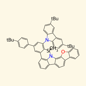 CC(C)(C)c1ccc(-c2cc3c4c(c2)-n2c5ccc(C(C)(C)C)cc5c5cc(C(C)(C)C)cc(c52)[Si]4(C)n2c4c-3cccc4c3ccc4c5ccccc5oc4c32)cc1